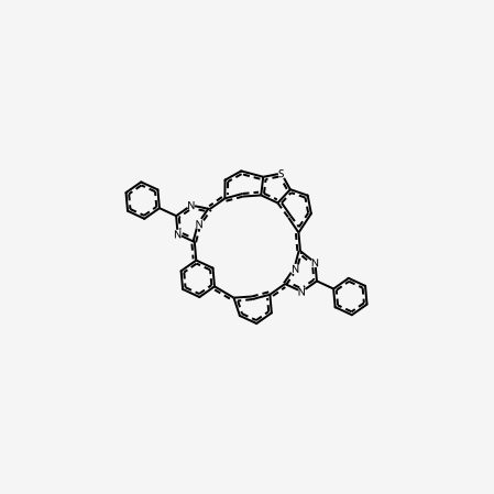 c1ccc(-c2nc3nc(n2)c2ccc4sc5ccc(cc5c4c2)c2nc(-c4ccccc4)nc(n2)c2cccc(c2)c2cccc3c2)cc1